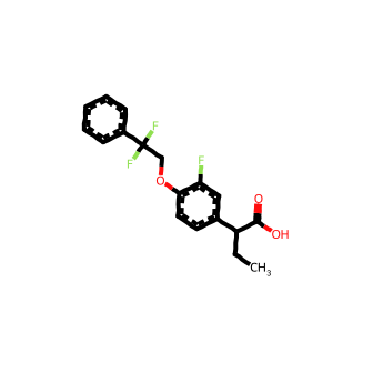 CCC(C(=O)O)c1ccc(OCC(F)(F)c2ccccc2)c(F)c1